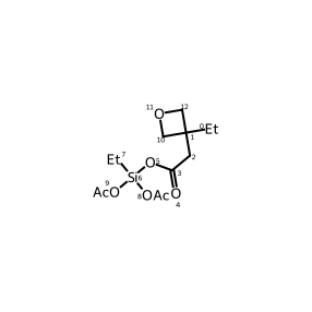 CCC1(CC(=O)O[Si](CC)(OC(C)=O)OC(C)=O)COC1